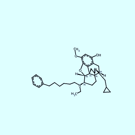 CCN(CCCCCCc1ccccc1)[C@@H]1CC[C@H]2[C@H]3Cc4c(O)cc(OC)c5c4[C@@]2(CCN3CC2CC2)[C@H]1O5